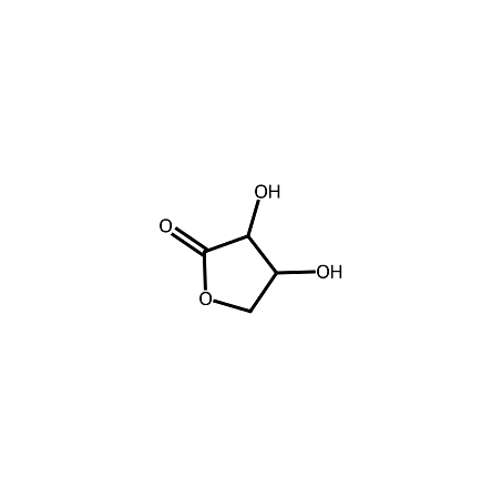 O=C1OCC(O)C1O